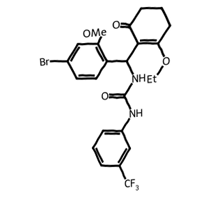 CCOC1=C(C(NC(=O)Nc2cccc(C(F)(F)F)c2)c2ccc(Br)cc2OC)C(=O)CCC1